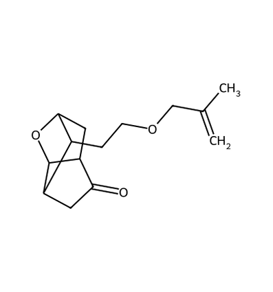 C=C(C)COCCC1C2CC3C(=O)CC1C3O2